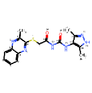 Cc1nc2ccccc2nc1SCC(=O)NC(=O)Nc1c(C)n[nH]c1C